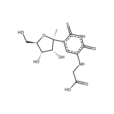 C[C@@]1(n2cc(NCC(=O)O)c(=O)[nH]c2=S)O[C@H](CO)[C@@H](O)[C@H]1O